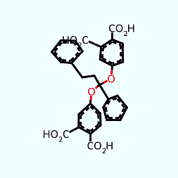 O=C(O)c1ccc(OC(CCc2ccccc2)(Oc2ccc(C(=O)O)c(C(=O)O)c2)c2ccccc2)cc1C(=O)O